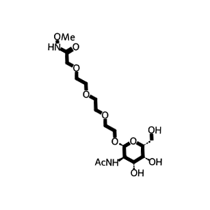 CONC(=O)COCCOCCOCCO[C@@H]1O[C@H](CO)[C@H](O)[C@H](O)[C@H]1NC(C)=O